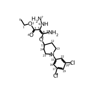 CCOC(=O)/C(NN)=C(/N)OC1CCN(c2cc(Cl)cc(Cl)c2)CC1